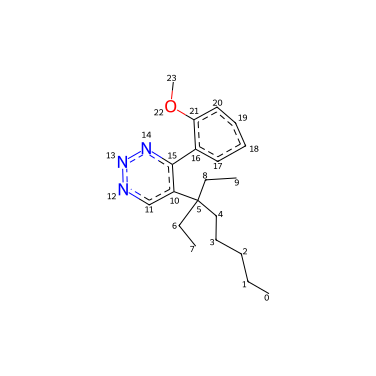 CCCCCC(CC)(CC)c1cnnnc1-c1ccccc1OC